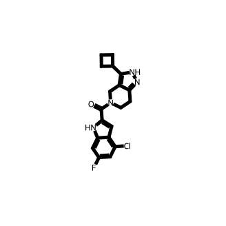 O=C(c1cc2c(Cl)cc(F)cc2[nH]1)N1CCc2n[nH]c(C3CCC3)c2C1